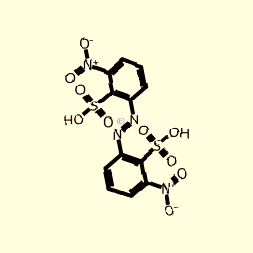 O=[N+]([O-])c1cccc(/N=N/c2cccc([N+](=O)[O-])c2S(=O)(=O)O)c1S(=O)(=O)O